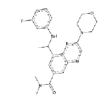 CC(Nc1cccc(F)c1)c1cc(C(=O)N(C)C)cc2ncc(N3CCOCC3)nc12